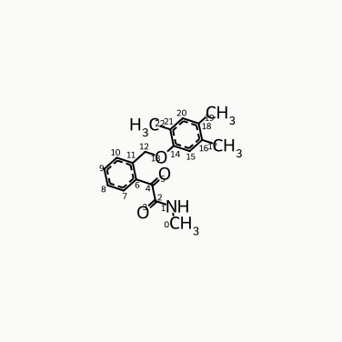 CNC(=O)C(=O)c1ccccc1COc1cc(C)c(C)cc1C